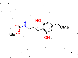 COCc1cc(O)c(CCCNC(=O)OC(C)(C)C)c(O)c1